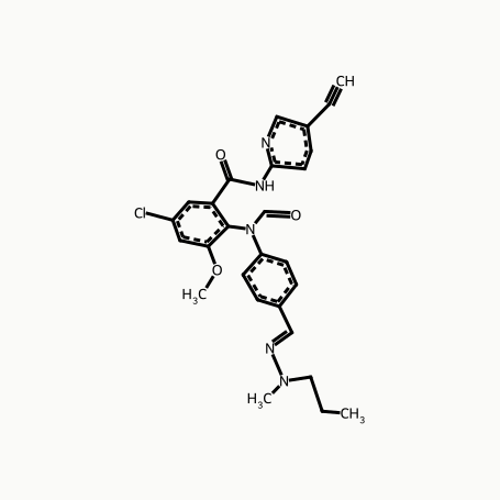 C#Cc1ccc(NC(=O)c2cc(Cl)cc(OC)c2N(C=O)c2ccc(C=NN(C)CCC)cc2)nc1